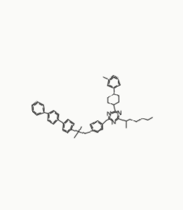 CCCCCC(C)c1nc(-c2ccc(CC(C)(C)c3ccc(-c4ccc(-c5ccccc5)cc4)cc3)cc2)nc(C2CCC(c3cccc(C)c3)CC2)n1